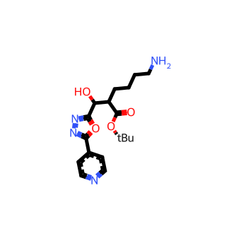 CC(C)(C)OC(=O)C(CCCCN)C(O)c1nnc(-c2ccncc2)o1